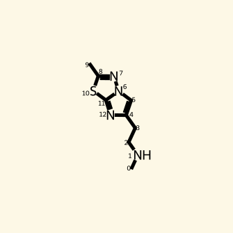 CNCCc1cn2nc(C)sc2n1